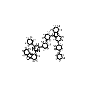 c1ccc(-c2ccc(-c3ccc4c5ccccc5n(-c5cccc(-c6cccc(-c7nc(-c8ccccc8)nc(-c8cccc9oc%10ccccc%10c89)n7)c6)c5)c4c3)cc2)cc1